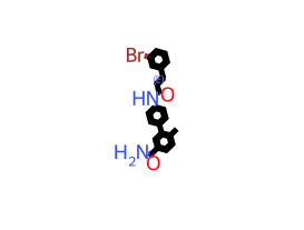 Cc1ccc(C(N)=O)cc1-c1ccc(NC(=O)/C=C/c2cccc(Br)c2)cc1